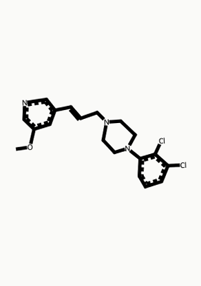 COc1cncc(C=CCN2CCN(c3cccc(Cl)c3Cl)CC2)c1